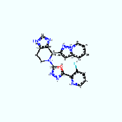 Fc1cccnc1-c1nnc(N2CCc3[nH]cnc3[C@H]2c2cc3ccccn3n2)o1